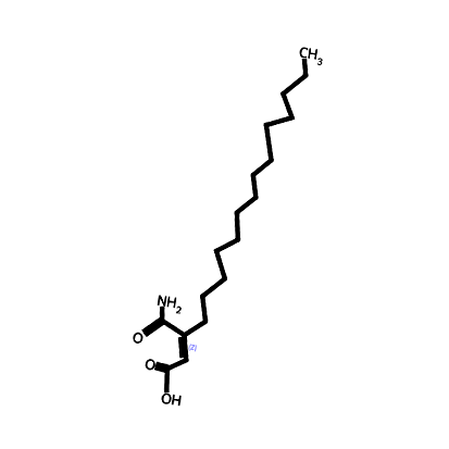 CCCCCCCCCCCCCC/C(=C/C(=O)O)C(N)=O